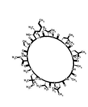 C/C=C/C[C@@H](C)[C@@H](O)[C@H]1C(=O)N[C@@H](CC)C(=O)N(C)C(C(=O)OC)C(=O)N(C)[C@@H](CC(C)(C)OC)C(=O)N[C@@H](C(C)C)C(=O)N(C)[C@@H](CC(C)C)C(=O)N[C@@H](C)C(=O)N[C@H](C)C(=O)N(C)[C@@H](CC(C)C)C(=O)N(C)[C@@H](CC(C)C)C(=O)N(C)[C@@H](C(C)C)C(=O)N1C